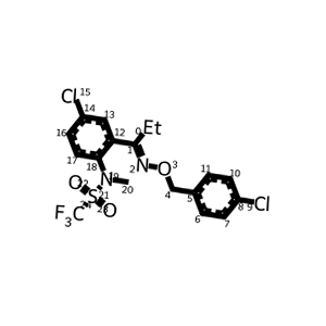 CC/C(=N\OCc1ccc(Cl)cc1)c1cc(Cl)ccc1N(C)S(=O)(=O)C(F)(F)F